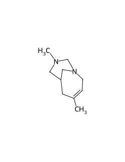 CC1=CCN2CC(C1)CN(C)C2